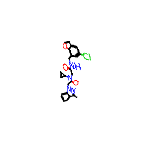 Cc1nn(CC(=O)N(CC(=O)NCc2cc(Cl)cc3ccoc23)C2CC2)c2ccccc12